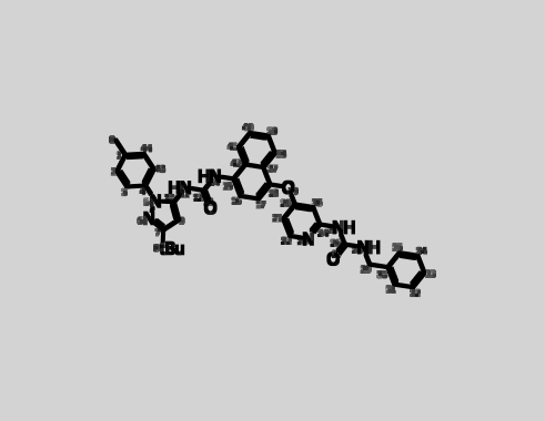 Cc1ccc(-n2nc(C(C)(C)C)cc2NC(=O)Nc2ccc(Oc3ccnc(NC(=O)NCc4ccccc4)c3)c3ccccc23)cc1